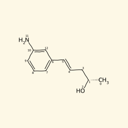 C[C@H](O)C/C=C/c1cccc(N)c1